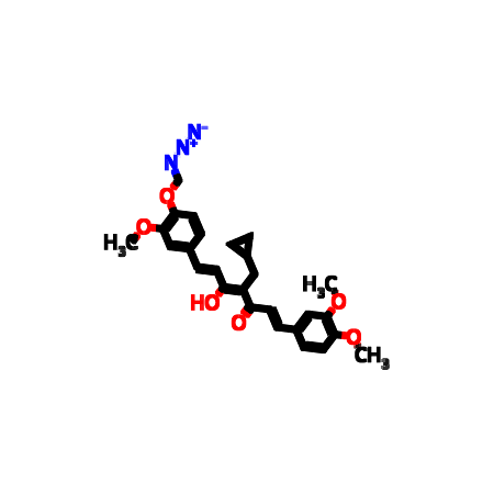 COc1ccc(/C=C/C(=O)/C(CC2CC2)=C(O)/C=C/c2ccc(OCN=[N+]=[N-])c(OC)c2)cc1OC